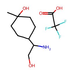 CC1(O)CCC(C(N)CO)CC1.O=C(O)C(F)(F)F